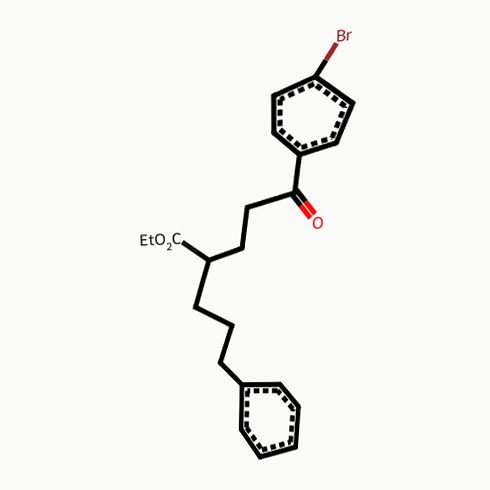 CCOC(=O)C(CCCc1ccccc1)CCC(=O)c1ccc(Br)cc1